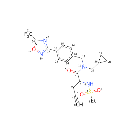 C#CCC(NS(=O)(=O)CC)C(=O)N(Cc1ccc(-c2noc(C(F)(F)F)n2)cc1)CC1CC1